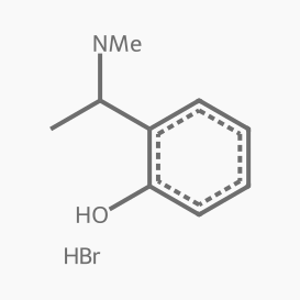 Br.CNC(C)c1ccccc1O